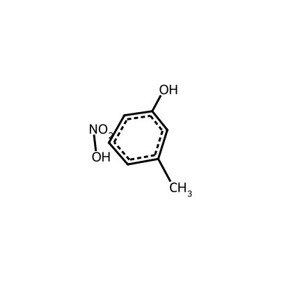 Cc1cccc(O)c1.O=[N+]([O-])O